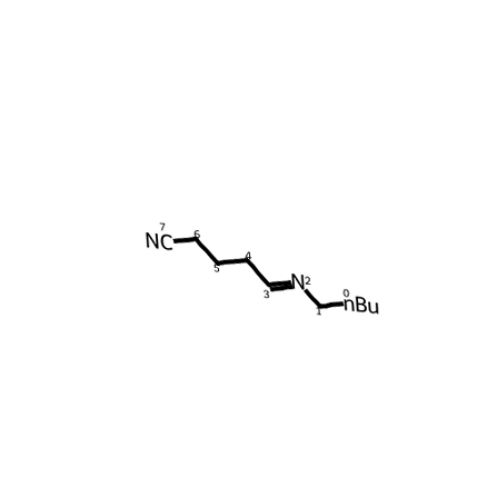 CCCCCN=CCCCC#N